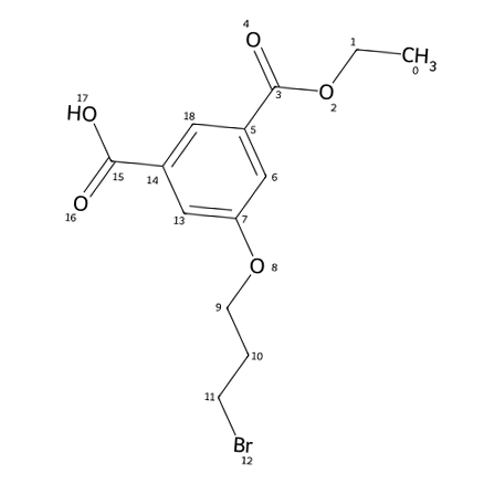 CCOC(=O)c1cc(OCCCBr)cc(C(=O)O)c1